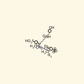 CC[N+]1=C(/C=C/C=C/C=C2\N(CCCCCC(=O)NCCc3ccc(O)cc3)c3ccc(S(=O)(=O)O)cc3C2(C)C)C(C)(C)c2cc(S(=O)(=O)[O-])ccc21